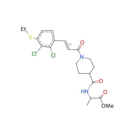 CCSc1ccc(/C=C/C(=O)N2CCC(C(=O)NC(C)C(=O)OC)CC2)c(Cl)c1Cl